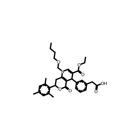 CCCCOCN1C=C(C(=O)OCC)C(c2cccc(CC(=O)O)c2)C2=C1CC(c1c(C)cc(C)cc1C)OC2=O